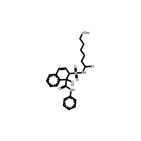 CCCCCCCCCCCCCCCC(CC)NS(=O)(=O)C1C=Cc2ccccc2C1(O)C(=O)Nc1ccccc1